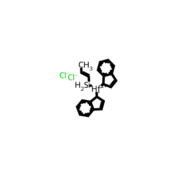 CC=C[SiH2][Hf+2]([CH]1C=Cc2ccccc21)[CH]1C=Cc2ccccc21.[Cl-].[Cl-]